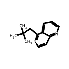 CC(C)(C)Cc1nccc2ncccc12